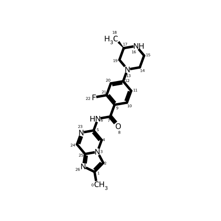 Cc1cn2cc(NC(=O)c3ccc(N4CCN[C@H](C)C4)cc3F)ncc2n1